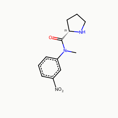 CN(C(=O)[C@@H]1CCCN1)c1cccc([N+](=O)[O-])c1